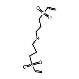 C=CS(=O)(=O)CCC[N]CCCS(=O)(=O)C=C